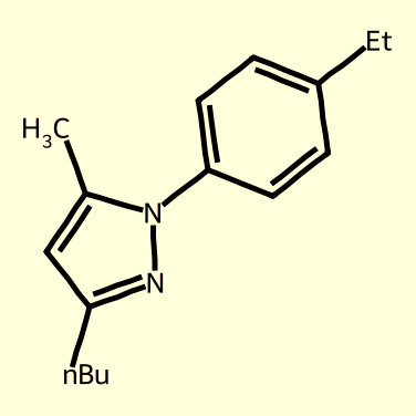 [CH2]Cc1ccc(-n2nc(CCCC)cc2C)cc1